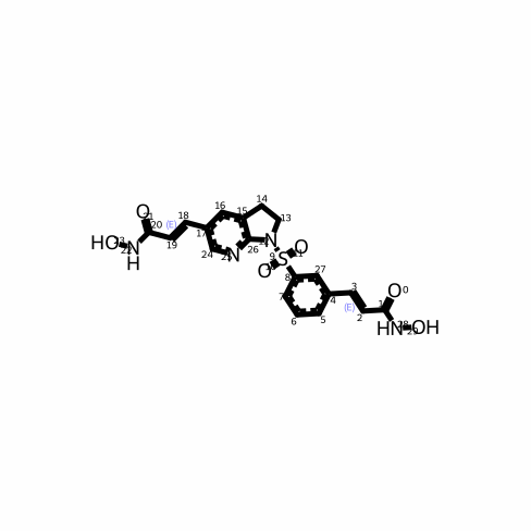 O=C(/C=C/c1cccc(S(=O)(=O)N2CCc3cc(/C=C/C(=O)NO)cnc32)c1)NO